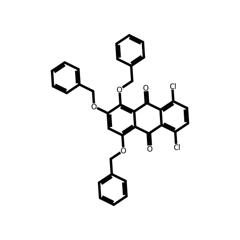 O=C1c2c(Cl)ccc(Cl)c2C(=O)c2c(OCc3ccccc3)c(OCc3ccccc3)cc(OCc3ccccc3)c21